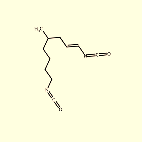 CC(CC=CN=C=O)CCCCN=C=O